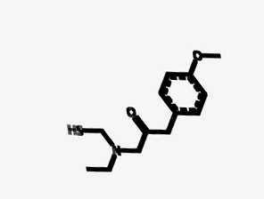 CCN(CS)CC(=O)Cc1ccc(OC)cc1